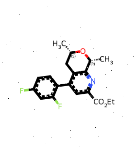 CCOC(=O)c1cc(-c2ccc(F)cc2F)c2c(n1)[C@@H](C)O[C@@H](C)C2